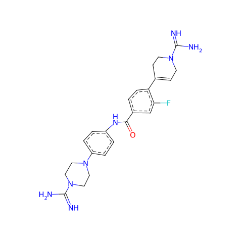 N=C(N)N1CC=C(c2ccc(C(=O)Nc3ccc(N4CCN(C(=N)N)CC4)cc3)cc2F)CC1